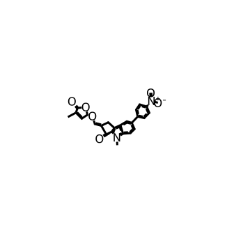 CC1=CC(OC=C2Cc3c(n(C)c4ccc(-c5ccc([N+](=O)[O-])cc5)cc34)C2=O)OC1=O